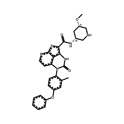 CO[C@@H]1CNC[C@H](NC(=O)c2sc3nccc4c3c2NC(=O)N4c2ccc(Oc3ccccc3)cc2C)C1